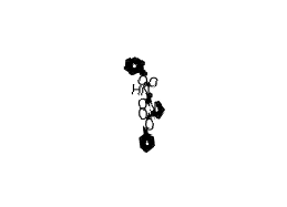 O=C(NCC(=O)N1CCC[C@H]1C(=O)OCc1ccccc1)OCc1ccccc1